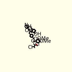 C=C(Cl)/C(C[C@H](OC(=O)c1ccc(CN(C(=O)O[C@H]2CN3CCC2CC3)c2cc(O)ccc2Cl)cc1)c1ccc(OC)c(OC)c1)=C(\C)Cl